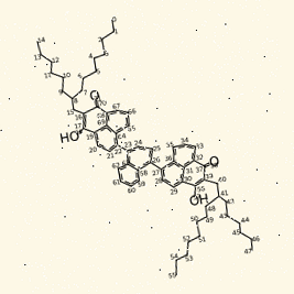 CCCCCCCCC(CCCCCC)CC1=C(O)c2ccc(-c3ccc(-c4ccc5c6c(cccc46)C(=O)C(CC(CCCCCC)CCCCCCCC)=C5O)c4ccccc34)c3cccc(c23)C1=O